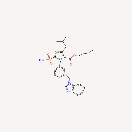 CCCCOC(=O)c1c(CC(C)C)sc(S(N)(=O)=O)c1-c1cccc(Cn2cnc3ccccc32)c1